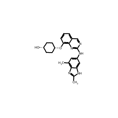 Cc1nc2c(C)cc(Nc3ncc4cccc(O[C@H]5CC[C@@H](O)CC5)c4n3)cc2[nH]1